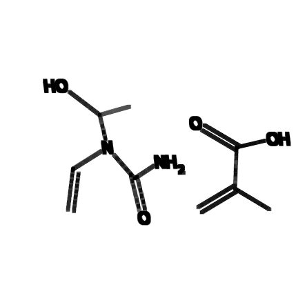 C=C(C)C(=O)O.C=CN(C(N)=O)C(C)O